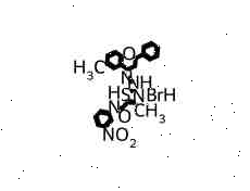 Br.Cc1ccc2c(c1)C(=NNc1nc(C)c(C(=O)Nc3cccc([N+](=O)[O-])c3)s1)CC(c1ccccc1)O2